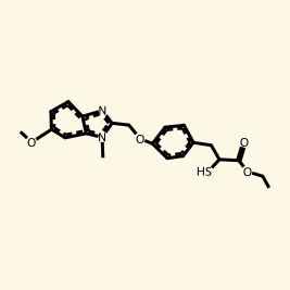 CCOC(=O)C(S)Cc1ccc(OCc2nc3ccc(OC)cc3n2C)cc1